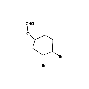 O=COC1CCC(Br)C(Br)C1